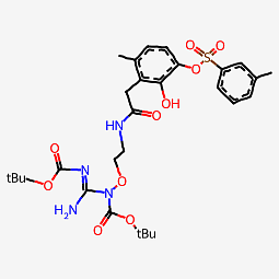 Cc1cccc(S(=O)(=O)Oc2ccc(C)c(CC(=O)NCCON(C(=O)OC(C)(C)C)C(N)=NC(=O)OC(C)(C)C)c2O)c1